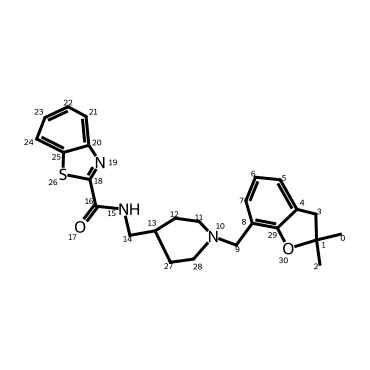 CC1(C)Cc2cccc(CN3CCC(CNC(=O)c4nc5ccccc5s4)CC3)c2O1